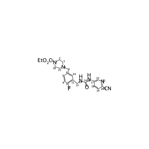 CCOC(=O)N1CCN(Cc2ccc(F)c(CNC(=O)Nc3ccc(C#N)nc3)c2)CC1